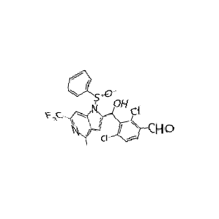 Cc1nc(C(F)(F)F)cc2c1cc(C(O)c1c(Cl)ccc(C=O)c1Cl)n2[S+]([O-])c1ccccc1